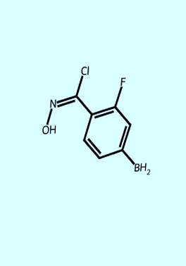 Bc1ccc(/C(Cl)=N\O)c(F)c1